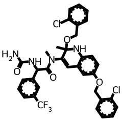 CN(C(=O)C(NC(N)=O)c1cccc(C(F)(F)F)c1)C1=Cc2cc(OCc3ccccc3Cl)ccc2NC1(C)OCc1ccccc1Cl